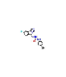 N#Cc1ccc(NC(=O)NCC2c3ccc(F)cc3-c3cncn32)cc1